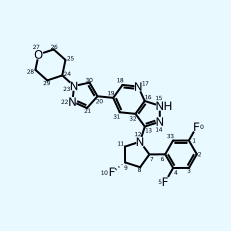 Fc1ccc(F)c(C2C[C@H](F)CN2c2n[nH]c3ncc(-c4cnn(C5CCOCC5)c4)cc23)c1